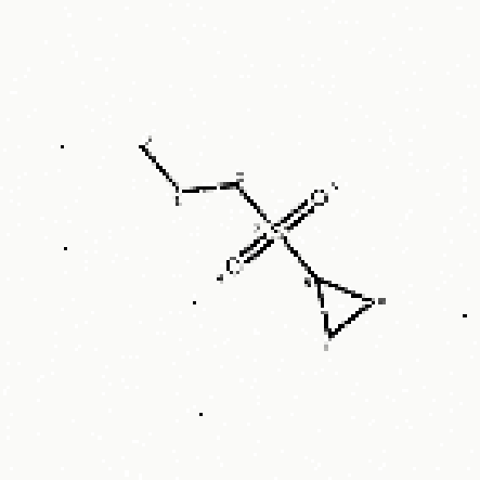 CCCS(=O)(=O)C1CC1